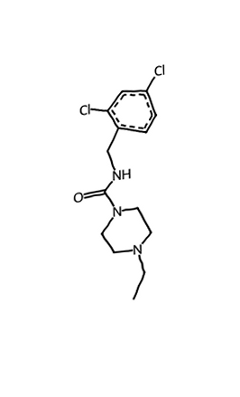 CCN1CCN(C(=O)NCc2ccc(Cl)cc2Cl)CC1